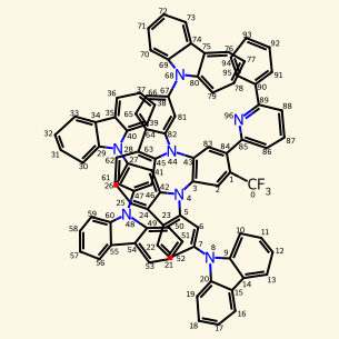 FC(F)(F)c1cc(-n2c3cc(-n4c5ccccc5c5ccccc54)ccc3c3ccc(-n4c5ccccc5c5ccccc54)cc32)c(-n2c3cc(-n4c5ccccc5c5ccccc54)ccc3c3ccc(-n4c5ccccc5c5ccccc54)cc32)cc1-c1cccc(-c2ccccc2)n1